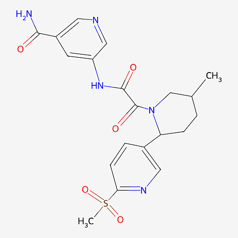 CC1CCC(c2ccc(S(C)(=O)=O)nc2)N(C(=O)C(=O)Nc2cncc(C(N)=O)c2)C1